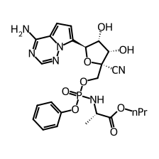 CCCOC(=O)[C@H](C)NP(=O)(OC[C@@]1(C#N)O[C@@H](c2ccc3c(N)ncnn23)[C@H](O)[C@@H]1O)Oc1ccccc1